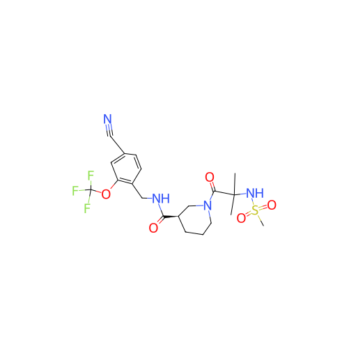 CC(C)(NS(C)(=O)=O)C(=O)N1CCC[C@@H](C(=O)NCc2ccc(C#N)cc2OC(F)(F)F)C1